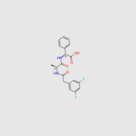 C[C@H](NC(=O)Cc1cc(F)cc(F)c1)C(=O)N[C@H](C(=O)O)c1ccccc1